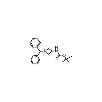 CC(C)(C)OC(=O)NC1CN(C(c2ccccc2)c2ccccc2)C1